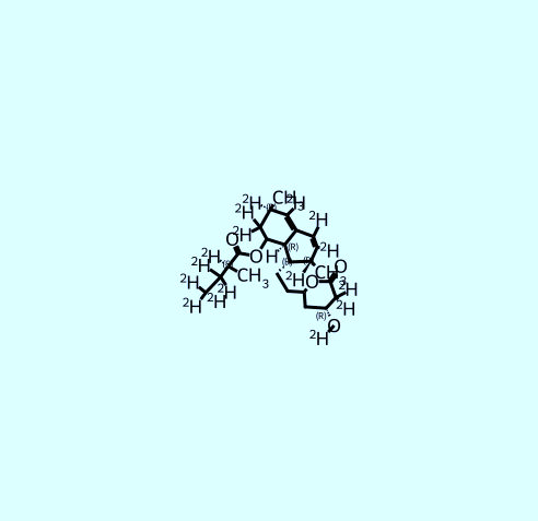 [2H]O[C@@H]1CC(CC[C@@H]2[C@@H]3C(=C([2H])[C@]([2H])(C)C([2H])([2H])C3OC(=O)[C@@]([2H])(C)C([2H])([2H])C([2H])([2H])[2H])C([2H])=C([2H])[C@]2([2H])C)OC(=O)C1([2H])[2H]